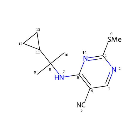 CSc1ncc(C#N)c(NC(C)(C)C2CC2)n1